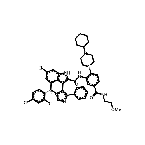 COCCNC(=O)c1ccc(N2CCN(C3CCCCC3)CC2)c(NC(=O)c2[nH]c3cc(Cl)cc4c3c2-c2c(-c3ccccc3)ncn2[C@@H]4c2ccc(Cl)cc2Cl)c1